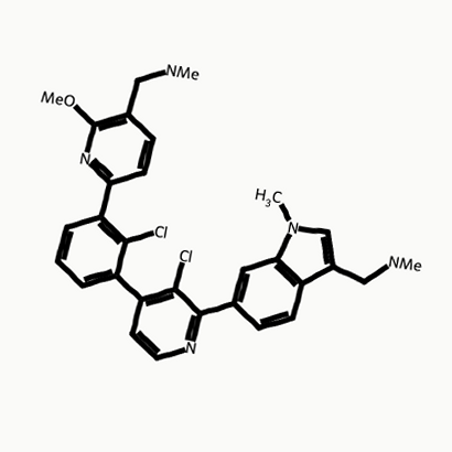 CNCc1ccc(-c2cccc(-c3ccnc(-c4ccc5c(CNC)cn(C)c5c4)c3Cl)c2Cl)nc1OC